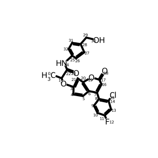 CC(Oc1ccc2c(-c3ccc(F)cc3Cl)cc(=O)oc2c1)C(=O)Nc1ccc(CO)cc1